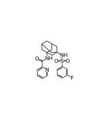 O=C(NC12CC3CC(C1)CC(NS(=O)(=O)c1cccc(F)c1)(C3)C2)c1ccccn1